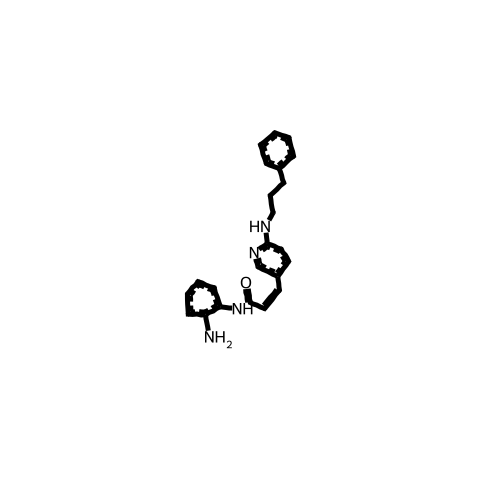 Nc1ccccc1NC(=O)/C=C\c1ccc(NCCCc2ccccc2)nc1